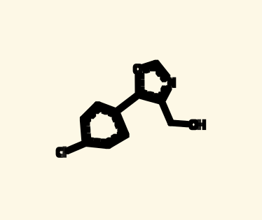 OCc1ncoc1-c1ccc(Cl)cc1